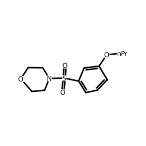 CCCOc1cccc(S(=O)(=O)N2CCOCC2)c1